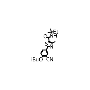 CCC(C)(C)NC(=O)c1sc(-c2ccc(OCC(C)C)c(C#N)c2)nc1C